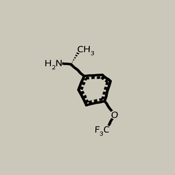 C[C@@H](N)c1ccc(OC(F)(F)F)cc1